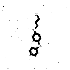 ClC=CCOc1ccc(Oc2ccccc2)cc1